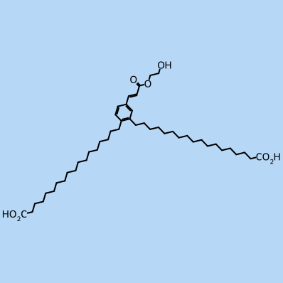 O=C(O)CCCCCCCCCCCCCCCCCc1ccc(/C=C/C(=O)OCCO)cc1CCCCCCCCCCCCCCCCCC(=O)O